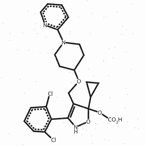 O=C(O)OC1(C2CC2)ONC(c2c(Cl)cccc2Cl)=C1COC1CCN(c2ccccn2)CC1